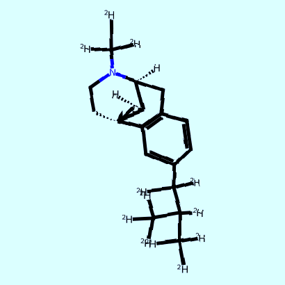 [2H]C([2H])([2H])N1CC[C@@]23CCCC[C@@H]2[C@@H]1Cc1ccc(C([2H])([2H])C([2H])(C([2H])([2H])[2H])C([2H])([2H])[2H])cc13